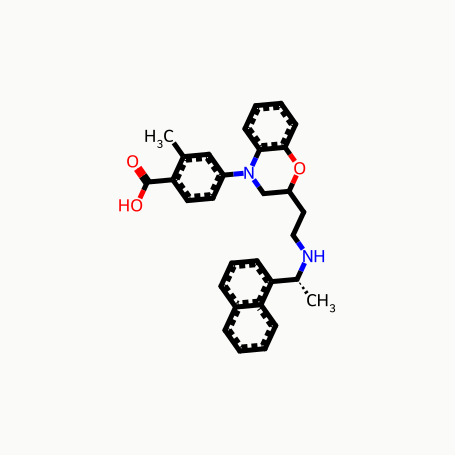 Cc1cc(N2CC(CCN[C@H](C)c3cccc4ccccc34)Oc3ccccc32)ccc1C(=O)O